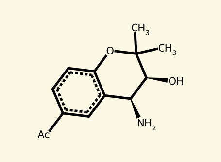 CC(=O)c1ccc2c(c1)[C@H](N)[C@H](O)C(C)(C)O2